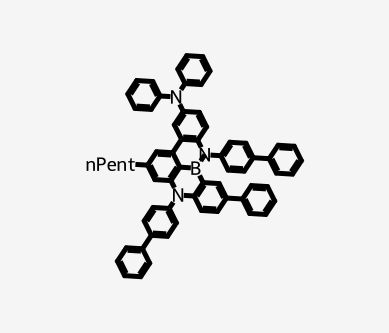 CCCCCc1cc2c3c(c1)N(c1ccc(-c4ccccc4)cc1)c1ccc(-c4ccccc4)cc1B3N(c1ccc(-c3ccccc3)cc1)c1ccc(N(c3ccccc3)c3ccccc3)cc1-2